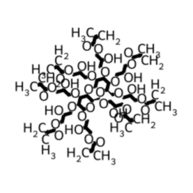 C=C(C)C(=O)OCC(O)COC[C@H]1O[C@H](O[C@H]2[C@H](OCC(O)COC(=O)C(=C)C)[C@@H](OCC(O)COC(=O)C(=C)C)[C@H](OCC(O)COC(=O)C(=C)C)O[C@@H]2COCC(O)COC(=O)C(=C)C)[C@H](OCC(O)COC(=O)C(=C)C)[C@@H](OCC(O)COC(=O)C(=C)C)[C@@H]1OCC(O)COC(=O)C(=C)C